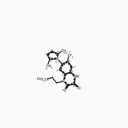 CCOC(=O)CCn1c(=O)c(=O)[nH]c2cc(C(F)(F)F)c(-n3c(C)ccc3C)cc21